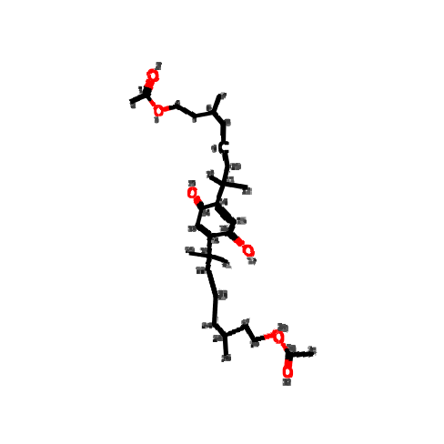 CC(=O)OCCC(C)CCCC(C)(C)C1=CC(=O)C(C(C)(C)CCCC(C)CCOC(C)=O)=CC1=O